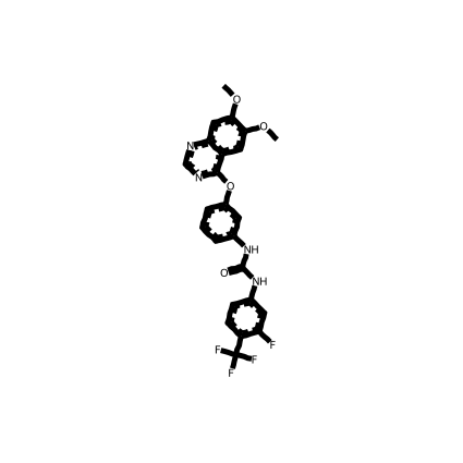 COc1cc2ncnc(Oc3cccc(NC(=O)Nc4ccc(C(F)(F)F)c(F)c4)c3)c2cc1OC